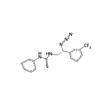 [N-]=[N+]=N[C@@H](CNC(=S)Nc1ccccc1)c1cccc(C(F)(F)F)c1